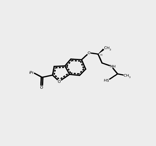 CC(S)NC[C@H](C)Oc1ccc2oc(C(=O)C(C)C)cc2c1